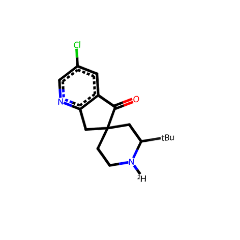 [2H]N1CCC2(Cc3ncc(Cl)cc3C2=O)CC1C(C)(C)C